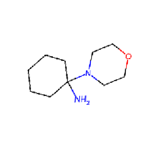 NC1(N2CCOCC2)CCCCC1